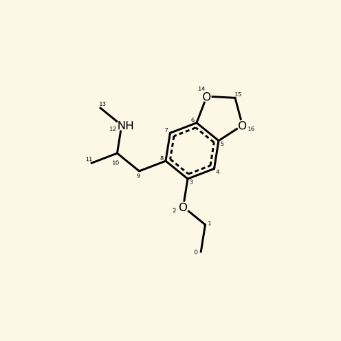 CCOc1cc2c(cc1CC(C)NC)OCO2